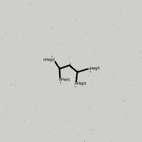 CCCCCCCC([CH]C(CCCCCCC)CCCCCCC)CCCCC